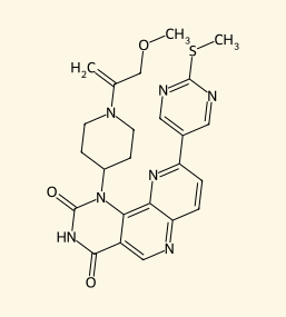 C=C(COC)N1CCC(n2c(=O)[nH]c(=O)c3cnc4ccc(-c5cnc(SC)nc5)nc4c32)CC1